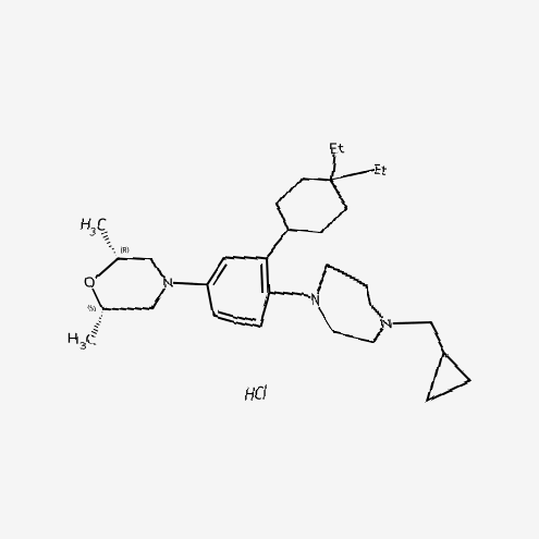 CCC1(CC)CCC(c2cc(N3C[C@@H](C)O[C@@H](C)C3)ccc2N2CCN(CC3CC3)CC2)CC1.Cl